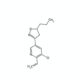 C=Cc1ncc(C2=NOC(CCC)C2)cc1Cl